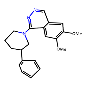 COc1cc2cnnc(N3CCCC(c4ccccc4)C3)c2cc1OC